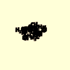 CN(C(=O)OC(C)(C)CC(C)(C)OC(=O)Nc1cc(-c2cccnc2)nn1C)c1cc(-c2cccnc2)nn1C